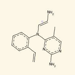 C=Cc1ccccc1N(/C=C/N)c1nc(N)ncc1C